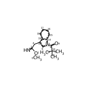 COC(=N)Cc1cn(C(=O)C(C)(C)C)c2ccccc12